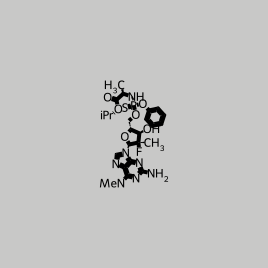 CNc1nc(N)nc2c1ncn2[C@@H]1O[C@H](CO[P@](=S)(N[C@H](C)C(=O)OC(C)C)Oc2ccccc2)[C@@H](O)[C@@]1(C)F